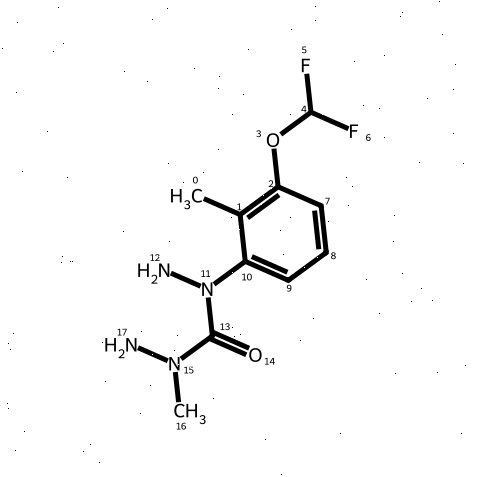 Cc1c(OC(F)F)cccc1N(N)C(=O)N(C)N